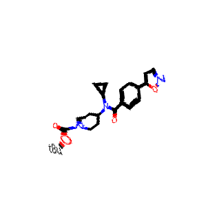 CC(C)(C)OC(=O)N1CCC(N(C(=O)c2ccc(-c3ccno3)cc2)C2CC2)CC1